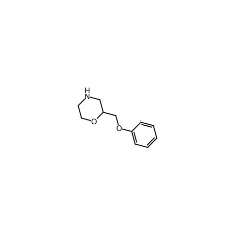 [c]1ccccc1OCC1CNCCO1